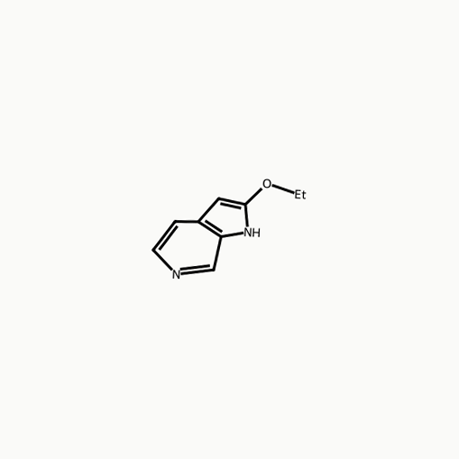 CCOc1cc2ccncc2[nH]1